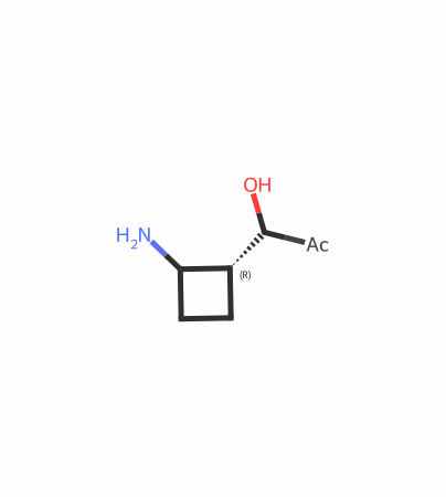 CC(=O)C(O)[C@@H]1CCC1N